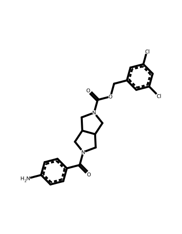 Nc1ccc(C(=O)N2CC3CN(C(=O)OCc4cc(Cl)cc(Cl)c4)CC3C2)cc1